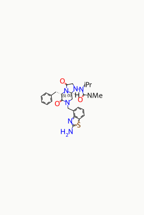 CNC(=O)N(C(C)C)N1CC(=O)N2[C@@H](Cc3ccccc3)C(=O)N(Cc3cccc4sc(N)nc34)C[C@@H]21